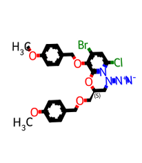 COc1ccc(COC[C@H](CN=[N+]=[N-])Oc2nc(Cl)cc(Br)c2OCc2ccc(OC)cc2)cc1